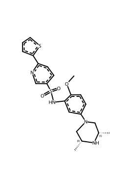 COc1ccc(N2C[C@@H](C)N[C@@H](C)C2)cc1NS(=O)(=O)c1ccc(-c2cccs2)nc1